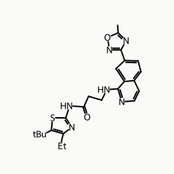 CCc1nc(NC(=O)CCNc2nccc3ccc(-c4noc(C)n4)cc23)sc1C(C)(C)C